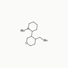 CC(C)(C)CC1CCOCC1C1CCCCN1C(C)(C)C